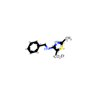 CCOC(=O)c1sc(C)nc1NCc1ccccc1